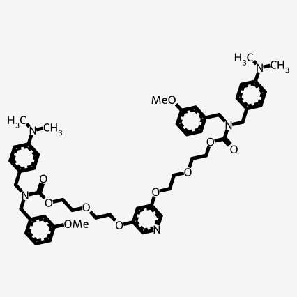 COc1cccc(CN(Cc2ccc(N(C)C)cc2)C(=O)OCCOCCOc2cncc(OCCOCCOC(=O)N(Cc3ccc(N(C)C)cc3)Cc3cccc(OC)c3)c2)c1